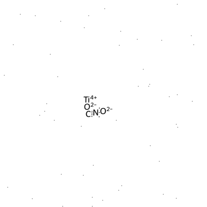 [C].[N].[O-2].[O-2].[Ti+4]